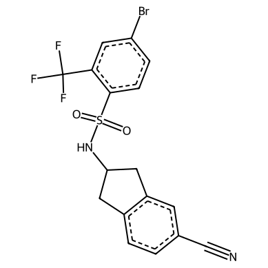 N#Cc1ccc2c(c1)CC(NS(=O)(=O)c1ccc(Br)cc1C(F)(F)F)C2